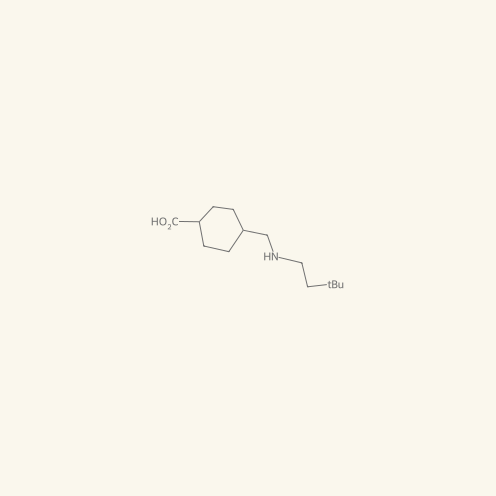 CC(C)(C)CCNCC1CCC(C(=O)O)CC1